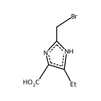 CCc1[nH]c(CBr)nc1C(=O)O